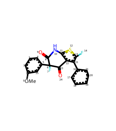 COc1cccc(C2(F)C(=O)Nc3sc(F)c(-c4ccccc4)c3C2=O)c1